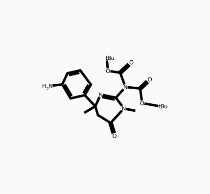 CN1C(=O)CC(C)(c2cccc(N)c2)N=C1N(C(=O)OC(C)(C)C)C(=O)OC(C)(C)C